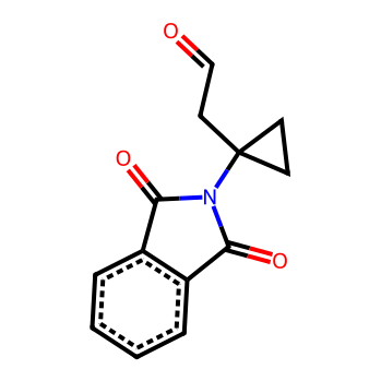 O=CCC1(N2C(=O)c3ccccc3C2=O)CC1